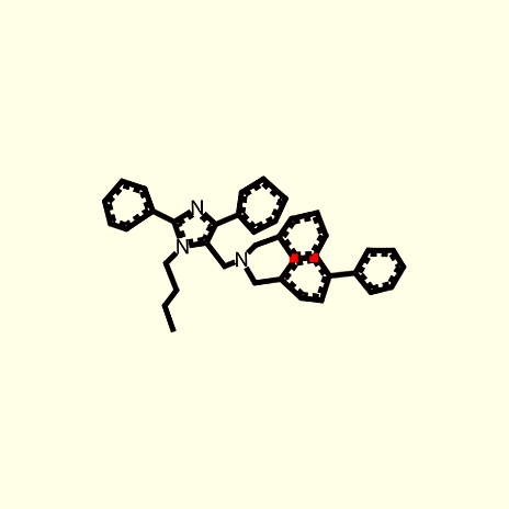 CCCCn1c(-c2ccccc2)nc(-c2ccccc2)c1CN(Cc1ccccc1)Cc1ccc(-c2ccccc2)cc1